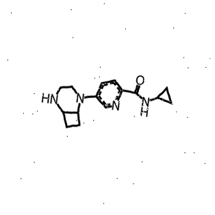 O=C(NC1CC1)c1ccc(N2CCNC3CCC32)cn1